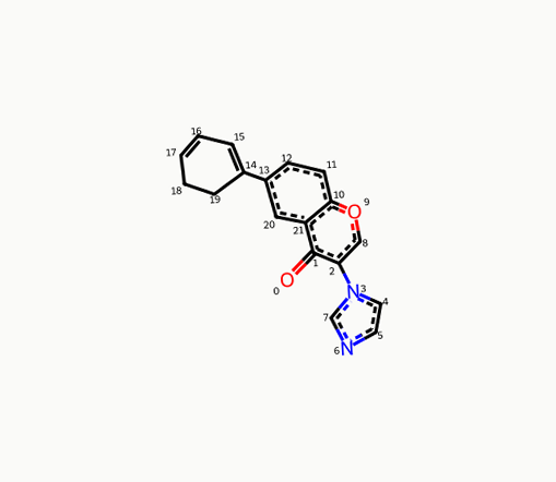 O=c1c(-n2ccnc2)coc2ccc(C3=CC=CCC3)cc12